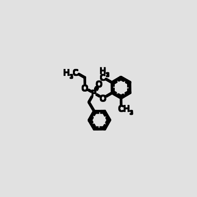 CCOP(=O)(Cc1ccccc1)Oc1c(C)cccc1C